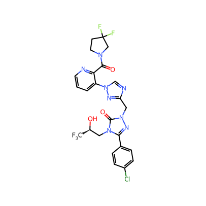 O=C(c1ncccc1-n1cnc(Cn2nc(-c3ccc(Cl)cc3)n(C[C@H](O)C(F)(F)F)c2=O)n1)N1CCC(F)(F)C1